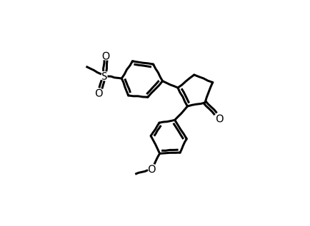 COc1ccc(C2=C(c3ccc(S(C)(=O)=O)cc3)CCC2=O)cc1